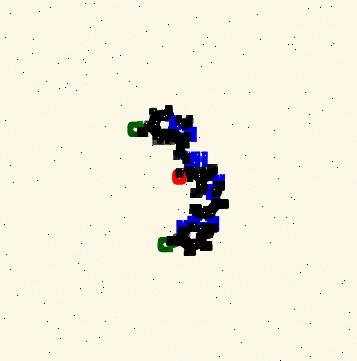 O=C(NCc1ncn2ccc(Cl)cc12)c1cnn(Cc2cn3nc(Cl)ccc3n2)c1